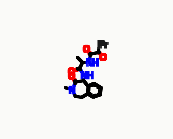 CC(C)C(=O)C(=O)NC(C)C(=O)NC1C(=O)N(C)CCc2ccccc21